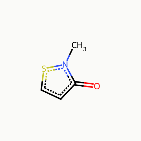 Cn1sccc1=O